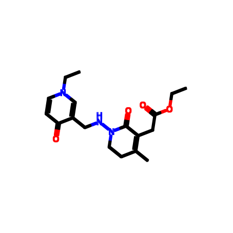 CCOC(=O)CC1=C(C)CCN(NCc2cn(CC)ccc2=O)C1=O